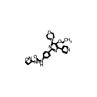 CCOc1c(-c2ccncc2)nc(-c2ccc(NC(=O)Nc3ccon3)cc2)nc1N1CCOCC1